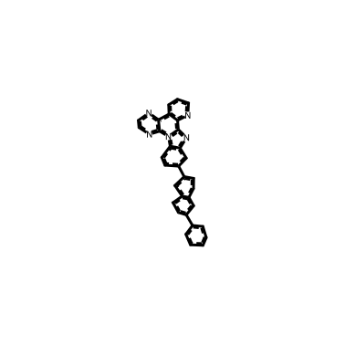 c1ccc(-c2ccc3cc(-c4ccc5c(c4)nc4c6ncccc6c6nccnc6n54)ccc3c2)cc1